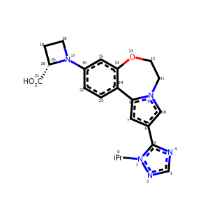 CC(C)n1ncnc1-c1cc2n(c1)CCOc1cc(N3CC[C@H]3C(=O)O)ccc1-2